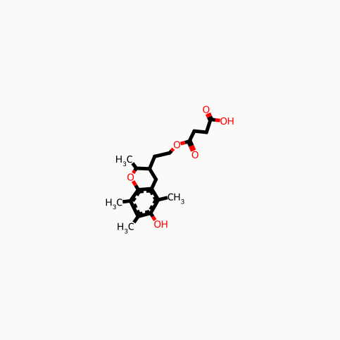 Cc1c(C)c2c(c(C)c1O)CC(CCOC(=O)CCC(=O)O)C(C)O2